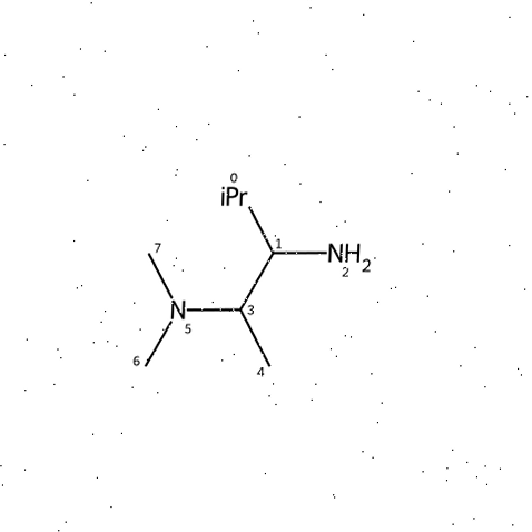 CC(C)C(N)C(C)N(C)C